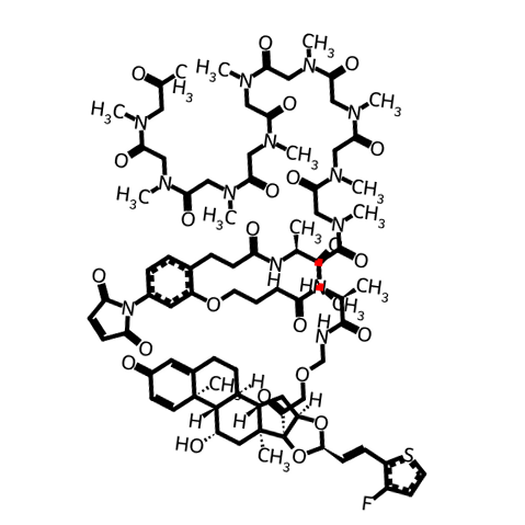 CC(=O)CN(C)C(=O)CN(C)C(=O)CN(C)C(=O)CN(C)C(=O)CN(C)C(=O)CN(C)C(=O)CN(C)C(=O)CN(C)C(=O)CN(C)C(=O)CN(C)C(=O)CCCOc1cc(N2C(=O)C=CC2=O)ccc1CCC(=O)N[C@@H](C)C(=O)N[C@@H](C)C(=O)NCOCC(=O)[C@@]12O[C@H](/C=C/c3sccc3F)O[C@@H]1C[C@H]1[C@@H]3CCC4=CC(=O)C=C[C@]4(C)[C@H]3[C@@H](O)C[C@@]12C